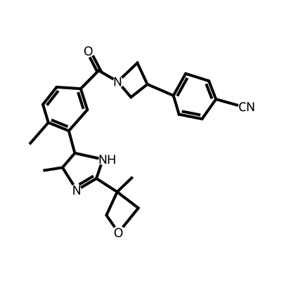 Cc1ccc(C(=O)N2CC(c3ccc(C#N)cc3)C2)cc1C1NC(C2(C)COC2)=NC1C